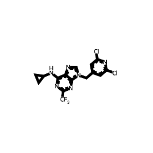 FC(F)(F)c1nc(NC2CC2)c2ncn(Cc3cc(Cl)nc(Cl)c3)c2n1